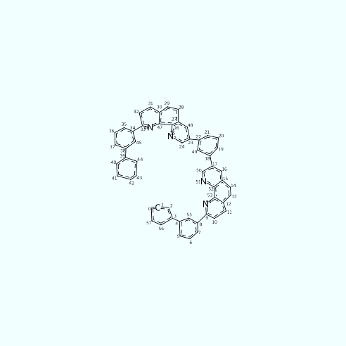 c1ccc(-c2cccc(-c3ccc4ccc5cc(-c6cccc(-c7cnc8c(ccc9ccc(-c%10cccc(-c%11ccccc%11)c%10)nc98)c7)c6)cnc5c4n3)c2)cc1